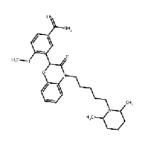 COc1ccc(C(=N)N)cc1C1Oc2ccccc2N(CCCCCN2C(C)CCCC2C)C1=O